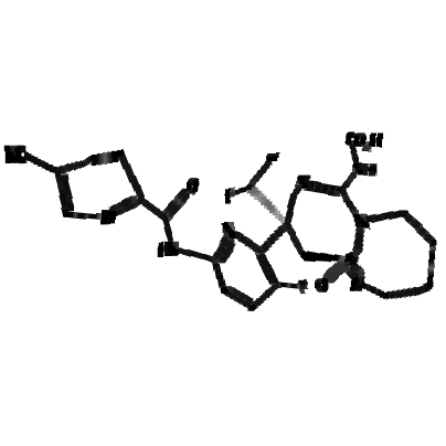 N#Cc1ccc(C(=O)Nc2ccc(F)c([C@]3(C(F)F)C[S@]4(=O)=NCCCCN4C(NC(=O)O)=N3)n2)nc1